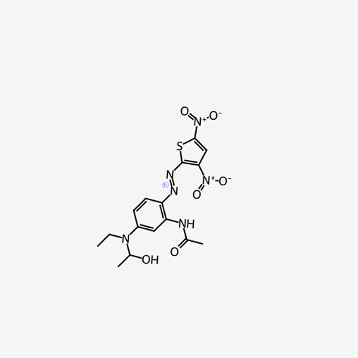 CCN(c1ccc(/N=N/c2sc([N+](=O)[O-])cc2[N+](=O)[O-])c(NC(C)=O)c1)C(C)O